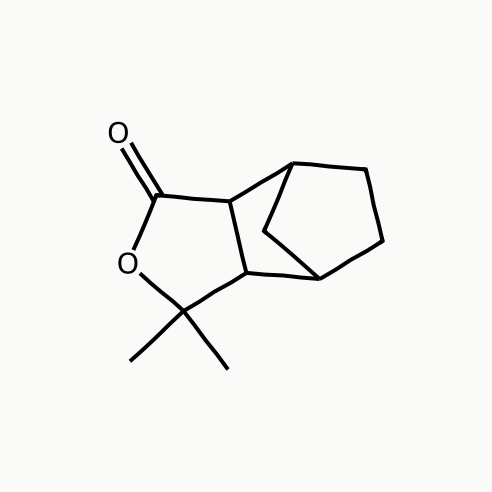 CC1(C)OC(=O)C2C3CCC(C3)C21